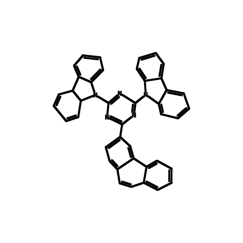 C1=CC2c3ccccc3N(c3nc(-c4ccc5ccc6ccccc6c5c4)nc(-n4c5ccccc5c5ccccc54)n3)C2C=C1